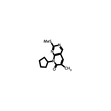 CSc1ncc2cc(C)c(=O)n(C3CCCC3)c2n1